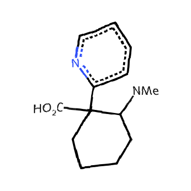 CNC1CCCCC1(C(=O)O)c1ccccn1